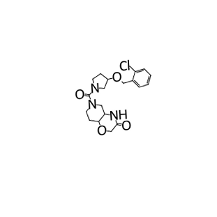 O=C1COC2CCN(C(=O)N3CCC(OCc4ccccc4Cl)C3)CC2N1